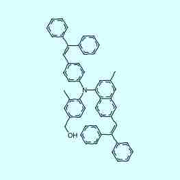 Cc1cc(N(c2ccc(C=C(c3ccccc3)c3ccccc3)cc2)c2ccc(CO)cc2C)c2ccc(C=C(c3ccccc3)c3ccccc3)cc2c1